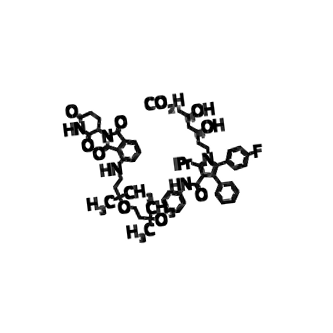 CC(C)c1c(C(=O)Nc2ccc(OC(C)(C)CCOC(C)(C)CCNc3cccc4c3C(=O)N(C3CCC(=O)NC3=O)C4=O)cc2)c(-c2ccccc2)c(-c2ccc(F)cc2)n1CC[C@@H](O)C[C@@H](O)CC(=O)O